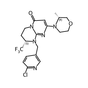 C[C@@H]1COCCN1c1cc(=O)n2c(n1)N(Cc1ccc(Cl)nc1)[C@H](C(F)(F)F)CC2